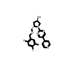 Fc1cc(F)c(COC[C@@H]2C[C@@H](S)CN2c2ncc(-c3ccncc3)cn2)cc1F